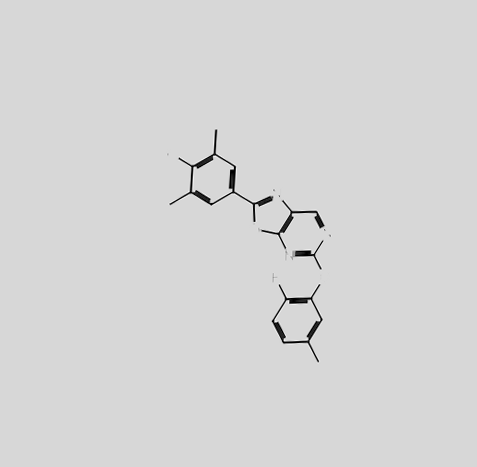 Cc1ccc(F)c(Oc2ncc3nc(-c4cc(C)c([O])c(C)c4)oc3n2)c1